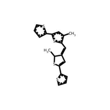 Cc1cc(-c2cccs2)sc1/C=C1/C=C(c2cccs2)SC1C